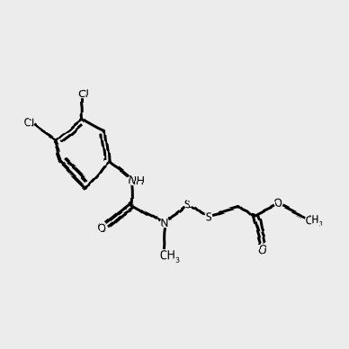 COC(=O)CSSN(C)C(=O)Nc1ccc(Cl)c(Cl)c1